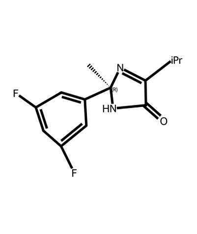 CC(C)C1=N[C@](C)(c2cc(F)cc(F)c2)NC1=O